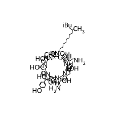 CCC(C)CC(C)CCCCCCCCC(=O)NC1C[C@@H](O)[C@@H](NCCN)NC(=O)[C@@H]2[C@@H](O)CCN2C(=O)C([C@H](O)CCN)NC(=O)[C@H]([C@H](O)[C@@H](O)c2ccc(O)cc2)NC(=O)C2C[C@@H](O)CN2C(=O)C([C@@H](C)O)NC1=O